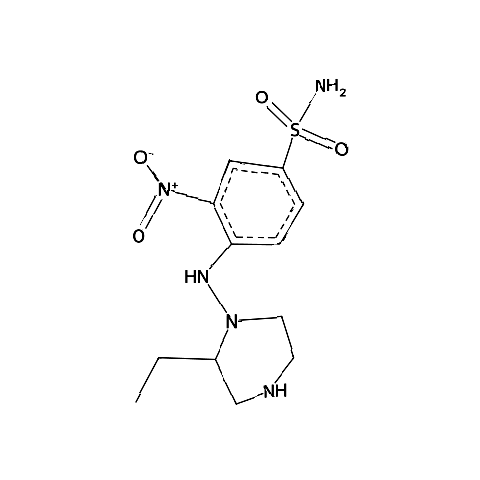 CCC1CNCCN1Nc1ccc(S(N)(=O)=O)cc1[N+](=O)[O-]